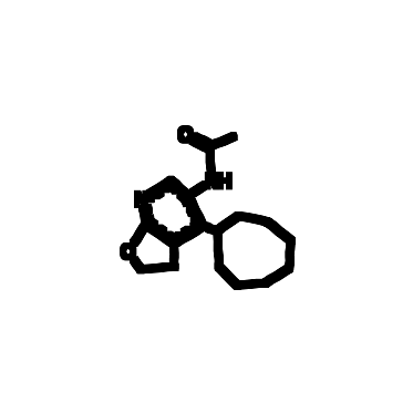 CC(=O)Nc1cnc2c(c1C1CCCCCCC1)CCO2